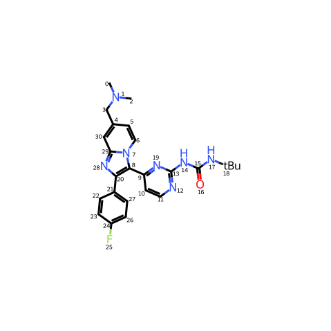 CN(C)Cc1ccn2c(-c3ccnc(NC(=O)NC(C)(C)C)n3)c(-c3ccc(F)cc3)nc2c1